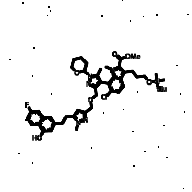 COC(=O)c1c(CCCO[Si](C)(C)C(C)(C)C)c2ccc(Cl)c(-c3c(COCc4cc(CCc5cc(O)c6ccc(F)cc6c5)n(C)n4)nn(C4CCCCO4)c3C)c2n1C